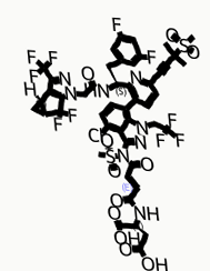 CC(C)(C#Cc1ccc(-c2ccc(Cl)c3c(N(C(=O)/C=C/C(=O)N[C@@H](CC(=O)O)C(=O)O)S(C)(=O)=O)nn(CC(F)(F)F)c23)c([C@H](Cc2cc(F)cc(F)c2)NC(=O)Cn2nc(C(F)(F)F)c3c2C(F)(F)C2C[C@H]32)n1)S(C)(=O)=O